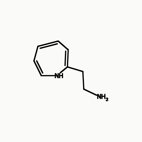 NCCC1=CC=CC=CN1